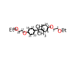 CCOCCOC1=CC=C(C(C)(C)c2ccc(OCCOCC)cc2)CC1